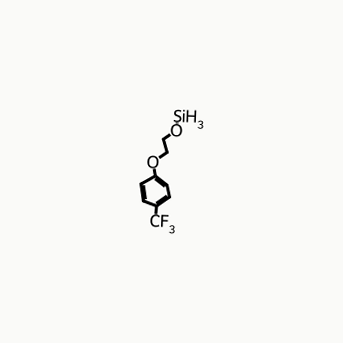 FC(F)(F)c1ccc(OCCO[SiH3])cc1